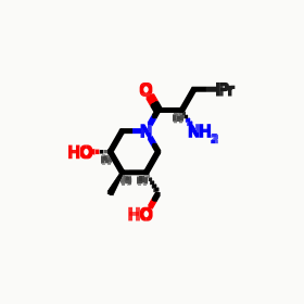 CC(C)C[C@H](N)C(=O)N1C[C@H](CO)[C@@H](C)[C@H](O)C1